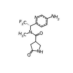 CN(C(=O)C1CNC(=O)C1)[C@@H](c1ccc(N)cn1)C(F)(F)F